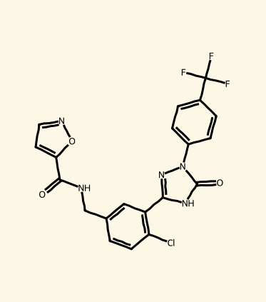 O=C(NCc1ccc(Cl)c(-c2nn(-c3ccc(C(F)(F)F)cc3)c(=O)[nH]2)c1)c1ccno1